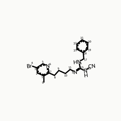 Cc1cc(Br)cnc1CCCCN=C(NC#N)NCc1ccccc1